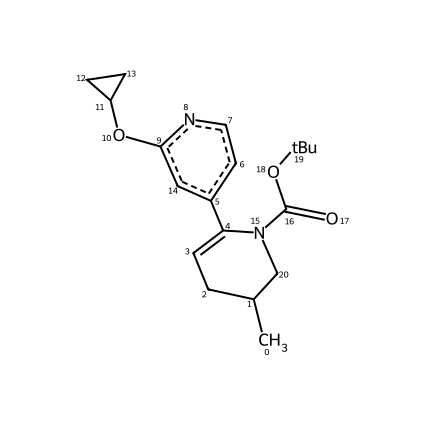 CC1CC=C(c2ccnc(OC3CC3)c2)N(C(=O)OC(C)(C)C)C1